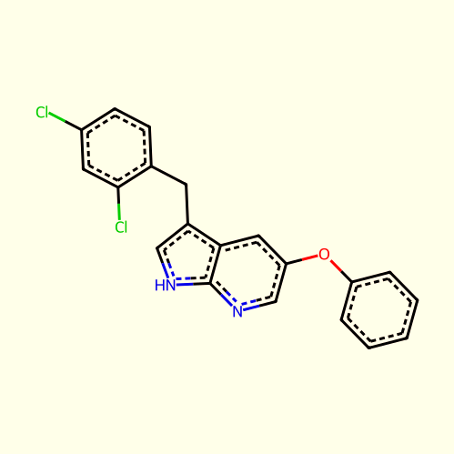 Clc1ccc(Cc2c[nH]c3ncc(Oc4ccccc4)cc23)c(Cl)c1